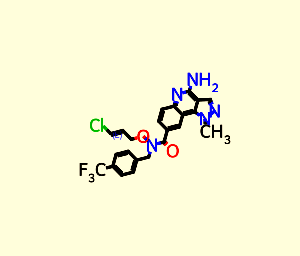 Cn1ncc2c(N)nc3ccc(C(=O)N(Cc4ccc(C(F)(F)F)cc4)OC/C=C/Cl)cc3c21